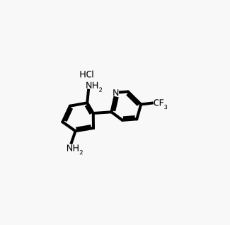 Cl.Nc1ccc(N)c(-c2ccc(C(F)(F)F)cn2)c1